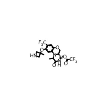 CC1C(=O)NN(OC(=O)C(F)(F)F)C2COc3cc(C(F)(F)F)c(OC4(C)CNC4)cc3N12